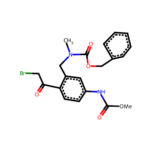 COC(=O)Nc1ccc(C(=O)CBr)c(CN(C)C(=O)OCc2ccccc2)c1